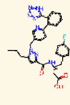 CCCc1cc(C(=O)N[C@@H](CC(=O)O)Cc2ccc(F)cc2)nn1Cc1ccc(-c2ccccc2-c2nnn[nH]2)nc1